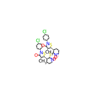 Cc1c(-c2ccc[n+]([O-])c2Sc2c(-c3sn(-c4ccc(Cl)cc4)c(=O)c3C)ccc[n+]2[O-])sn(-c2ccc(Cl)cc2)c1=O